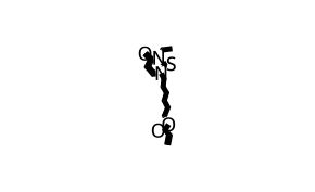 C=CC(=O)OCCCCCCn1ccc(=O)n(CC)c1=S